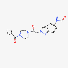 O=CNc1ccc2nn(CC(=O)N3CCN(C(=O)C4CCC4)CC3)cc2c1